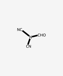 N#CN(C#N)C=O